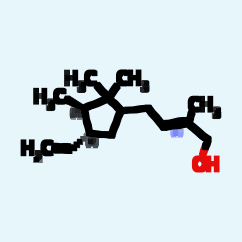 C=C[C@H]1CC(C/C=C(\C)CO)C(C)(C)[C@@H]1C